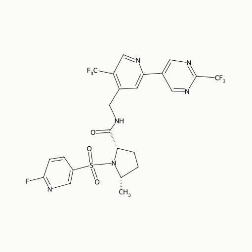 C[C@H]1CC[C@@H](C(=O)NCc2cc(-c3cnc(C(F)(F)F)nc3)ncc2C(F)(F)F)N1S(=O)(=O)c1ccc(F)nc1